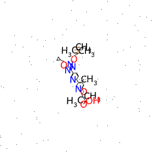 Cc1cc(OCC(C)(C)C(=O)O)ncc1-c1ccc(-c2nc(OCC3CC3)n(COCCS(C)(C)C)n2)cn1